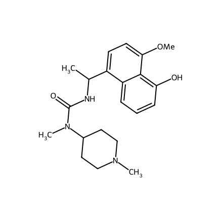 COc1ccc(C(C)NC(=O)N(C)C2CCN(C)CC2)c2cccc(O)c12